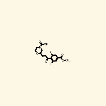 COC(=O)c1cc(F)c(C(=O)CCC2CN(C(=O)O)CCO2)c(F)c1